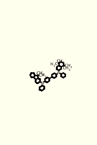 CC1(C)CCC(C)(C)c2cc(N(c3ccccc3)c3ccc(-c4ccc(N(c5ccccc5)c5ccc6c(c5)C(C)(C)c5ccccc5-6)cc4)cc3)ccc21